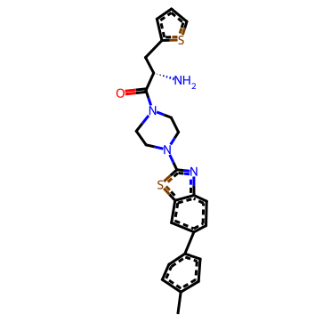 Cc1ccc(-c2ccc3nc(N4CCN(C(=O)[C@@H](N)Cc5cccs5)CC4)sc3c2)cc1